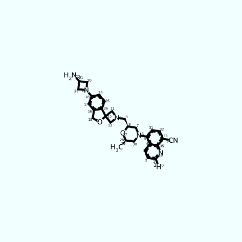 [2H]c1ccc2c(N3C[C@H](CN4CC5(C4)OCc4cc(N6CC(N)C6)ccc45)O[C@H](C)C3)ccc(C#N)c2n1